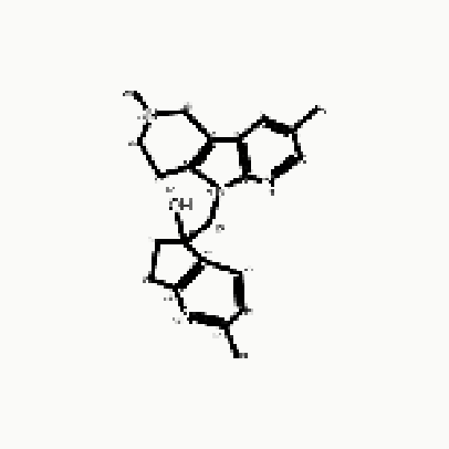 Cc1cnc2c(c1)c1c(n2CC2(O)CCc3nc(C)ccc32)CCN(C)C1